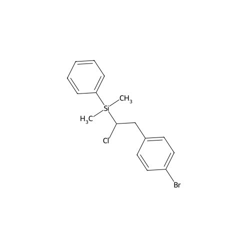 C[Si](C)(c1ccccc1)C(Cl)Cc1ccc(Br)cc1